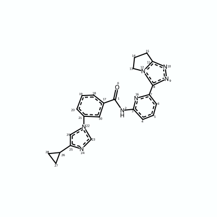 O=C(Nc1cccc(-c2nnc3n2CCC3)n1)c1cccc(-n2cnc(C3CC3)c2)c1